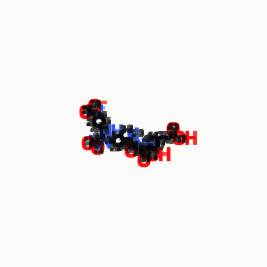 CN1CCc2cc(NC(=C[N+](=O)[O-])Nc3ccc([N+](=O)[O-])cc3)ccc2C1C(=O)NC(C)(C(=O)O)c1ccc(CCC(=O)O)cc1